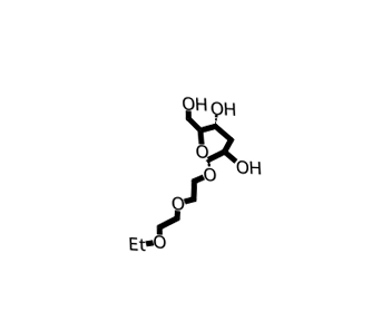 CCOCCOCCO[C@@H]1OC(CO)[C@H](O)CC1O